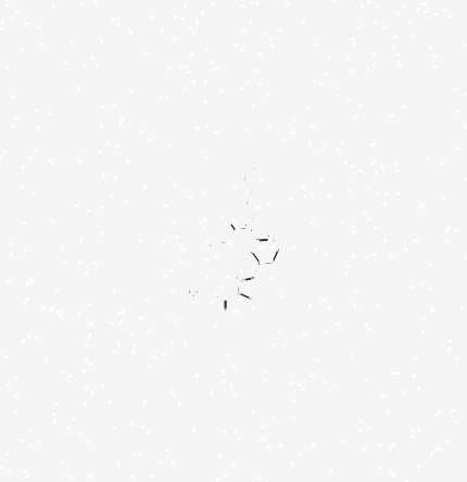 COC(=O)c1coc(-c2ccnc(N(CCCCBr)C(=O)OC(C)(C)C)c2)n1